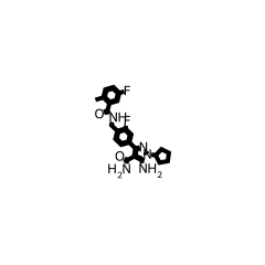 Cc1ccc(F)cc1C(=O)NCc1ccc(-c2nn(C3CCCC3)c(N)c2C(N)=O)cc1F